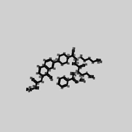 CC[C@H](C)[C@H](NC(=O)c1ccccc1)C(=O)N[C@@H](CCCCN)C(=O)N1CCN(c2ccc3ncn(CC(=O)NC)c(=O)c3c2)CC1